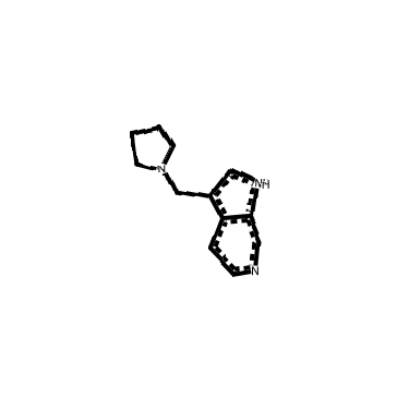 c1cc2c(CN3CCCC3)c[nH]c2cn1